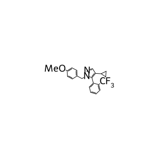 COc1ccc(Cn2ncc(C3CC3)c2-c2ccccc2C(F)(F)F)cc1